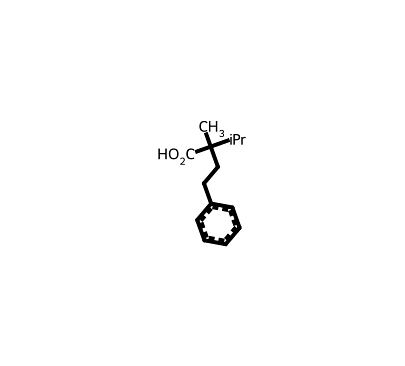 CC(C)C(C)(CCc1ccccc1)C(=O)O